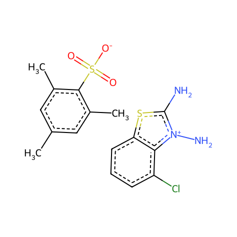 Cc1cc(C)c(S(=O)(=O)[O-])c(C)c1.Nc1sc2cccc(Cl)c2[n+]1N